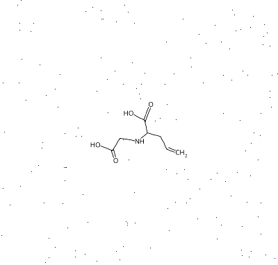 C=CCC(NCC(=O)O)C(=O)O